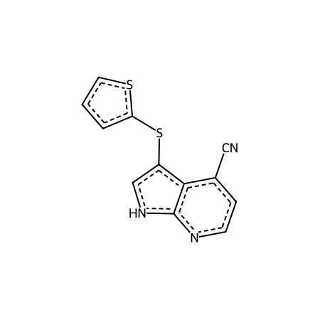 N#Cc1ccnc2[nH]cc(Sc3cccs3)c12